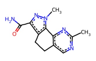 Cc1ncc2c(n1)-c1c(c(C(N)=O)nn1C)CC2